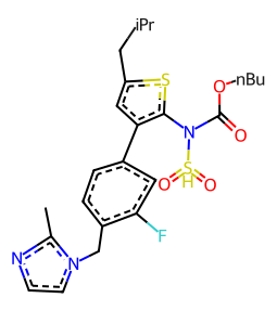 CCCCOC(=O)N(c1sc(CC(C)C)cc1-c1ccc(Cn2ccnc2C)c(F)c1)[SH](=O)=O